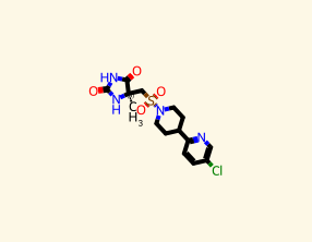 C[C@]1(CS(=O)(=O)N2CCC(c3ccc(Cl)cn3)CC2)NC(=O)NC1=O